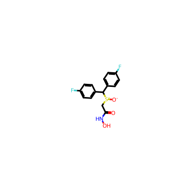 O=C(C[S+]([O-])C(c1ccc(F)cc1)c1ccc(F)cc1)NO